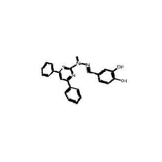 CN(N=Cc1ccc(O)c(O)c1)c1nc(-c2ccccc2)cc(-c2ccccc2)n1